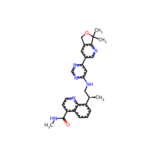 CNC(=O)c1ccnc2c([C@H](C)CNc3cc(-c4cnc5c(c4)COC5(C)C)ncn3)cccc12